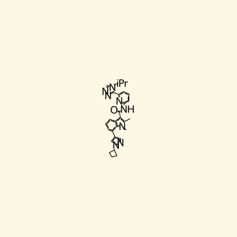 Cc1c(C(=O)Nc2cccc(-c3nncn3C(C)C)n2)c2cccc(-c3cnn(C4CCC4)c3)c2n1C